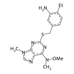 CCc1ccc(CSc2nc(N(C)OC)c3ncn(C)c3n2)cc1N